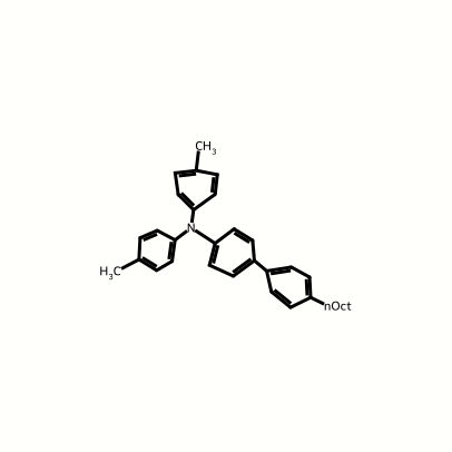 CCCCCCCCc1ccc(-c2ccc(N(c3ccc(C)cc3)c3ccc(C)cc3)cc2)cc1